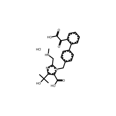 CNCc1nc(C(C)(C)O)c(C(=O)O)n1Cc1ccc(-c2ccccc2C(=O)C(=O)O)cc1.Cl